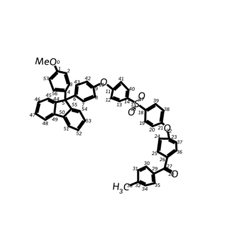 COc1ccc(C2(c3ccc(Oc4ccc(S(=O)(=O)c5ccc(Oc6ccc(C(=O)c7ccc(C)cc7)cc6)cc5)cc4)cc3)c3ccccc3-c3ccccc32)cc1